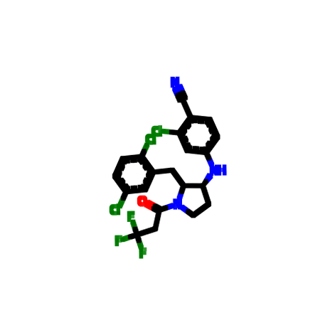 N#Cc1ccc(N[C@H]2CCN(C(=O)CC(F)(F)F)C2Cc2cc(Cl)ccc2Cl)cc1Cl